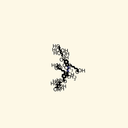 CC1(C)C(/C=C/C=C2/N(CCCCCC(=O)O)c3ccc(C(=O)NCC(O)C(O)C(O)C(O)CO)cc3C2(C)C)=[N+](CCCCS(=O)(=O)O)c2ccc(C(=O)NCC(O)C(O)C(O)C(O)CO)cc21